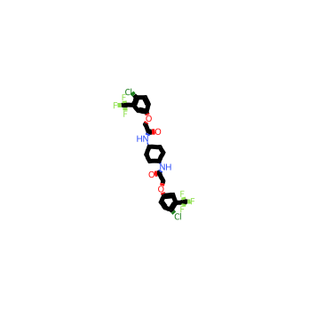 O=C(COc1ccc(Cl)c(C(F)(F)F)c1)N[C@H]1CC[C@H](NC(=O)COc2ccc(Cl)c(C(F)(F)F)c2)CC1